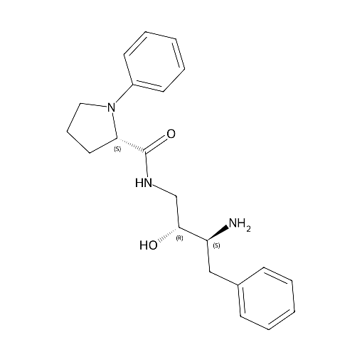 N[C@@H](Cc1ccccc1)[C@H](O)CNC(=O)[C@@H]1CCCN1c1ccccc1